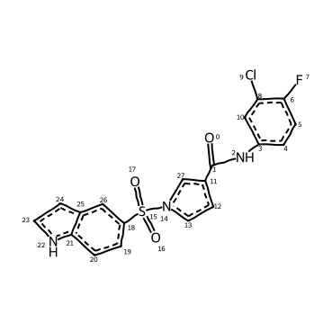 O=C(Nc1ccc(F)c(Cl)c1)c1ccn(S(=O)(=O)c2ccc3[nH]ccc3c2)c1